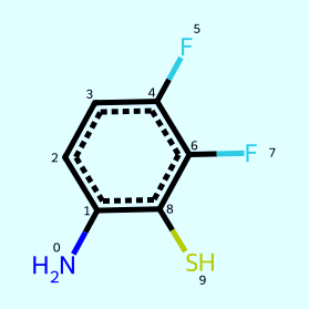 Nc1ccc(F)c(F)c1S